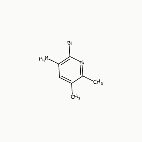 Cc1cc(N)c(Br)nc1C